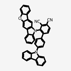 N#Cc1ccc(-c2ccc(-n3c4ccccc4c4ccccc43)cc2)c(-n2c3ccccc3c3cc4oc5ccccc5c4cc32)c1C#N